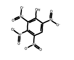 O=[N+]([O-])c1cc([N+](=O)[O-])c([N+](=O)[O-])c([N+](=O)[O-])c1O